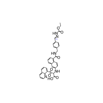 CCOC(=O)N/N=C/c1ccc(CNC(=O)c2cccc3cc(NC(C(=O)O)S(=O)(=O)c4cccc5cccnc45)ccc23)cc1